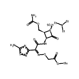 CC(C)(C)OC(=O)CO/N=C(\C(=O)N[C@@H]1C(=O)N(S(=O)(=O)O)[C@@H]1COC(N)=O)c1nsc(N)n1.CCN(CC)CC